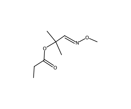 CCC(=O)OC(C)(C)/C=N/OC